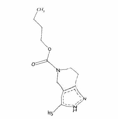 CCCCOC(=O)N1CCc2n[nH]c(S)c2C1